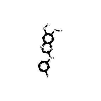 CCOc1cc2ncc(Nc3cccc(F)c3)nc2cc1OCC